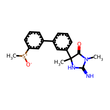 CN1C(=N)NC(C)(c2cccc(-c3cccc([S+](C)[O-])c3)c2)C1=O